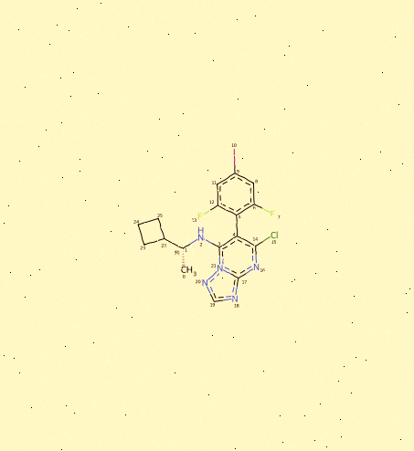 C[C@@H](Nc1c(-c2c(F)cc(I)cc2F)c(Cl)nc2ncnn12)C1CCC1